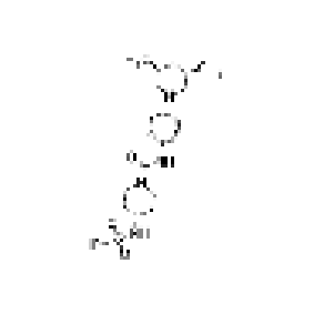 CC(C)S(=O)(=O)NC1CCN(C(=O)Nc2ccc(N3C[C@H](C)C[C@H](C)C3)cc2)CC1